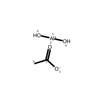 CC(=O)[O-].[OH][Al+][OH]